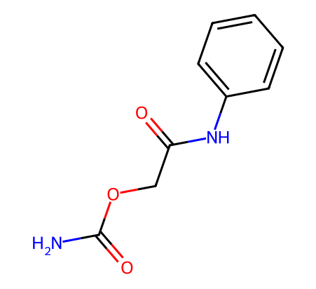 NC(=O)OCC(=O)Nc1ccccc1